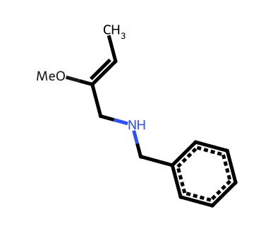 CC=C(CNCc1ccccc1)OC